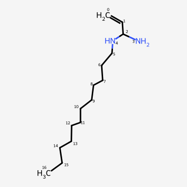 C=CC(N)NCCCCCCCCCCCC